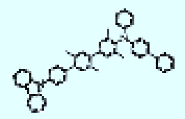 Cc1cc(-c2cc(C)c(N(c3ccccc3)c3ccc(-c4ccccc4)cc3)c(C)c2)c(C)cc1-c1ccc(-n2c3ccccc3c3ccccc32)cc1